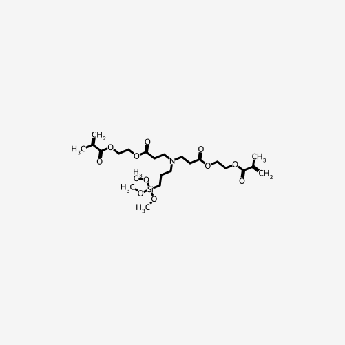 C=C(C)C(=O)OCCOC(=O)CCN(CCC[Si](OC)(OC)OC)CCC(=O)OCCOC(=O)C(=C)C